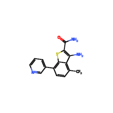 NC(=O)c1sc2c(-c3cccnc3)ccc(C(F)(F)F)c2c1N